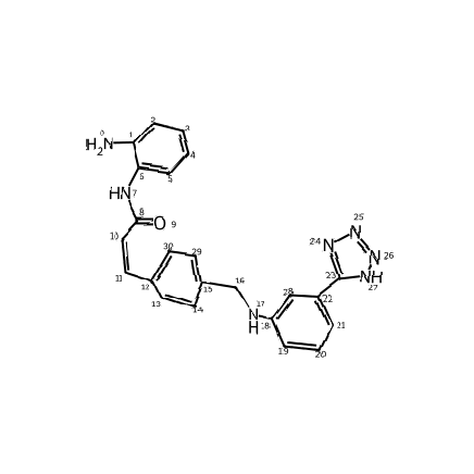 Nc1ccccc1NC(=O)/C=C\c1ccc(CNc2cccc(-c3nnn[nH]3)c2)cc1